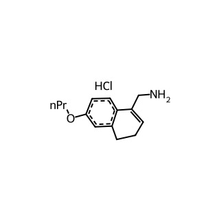 CCCOc1ccc2c(c1)CCC=C2CN.Cl